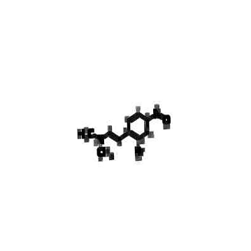 CN(C)/C=C/c1ccc(N=O)cc1Br